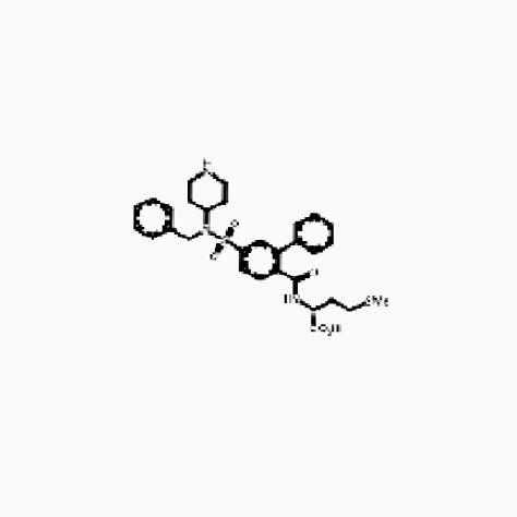 CSCC[C@H](NC(=O)c1ccc(S(=O)(=O)N(Cc2ccccc2)C2CCNCC2)cc1-c1ccccc1)C(=O)O